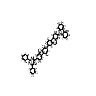 c1ccc(-c2nc(-c3ccccc3)nc(-c3ccc4c(c3)oc3cc(-c5ccc6c(c5)oc5cc(-n7c8ccccc8c8ccccc87)ccc56)ccc34)n2)cc1